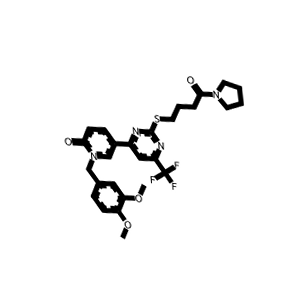 COc1ccc(Cn2cc(-c3cc(C(F)(F)F)nc(SCCCC(=O)N4CCCC4)n3)ccc2=O)cc1OC